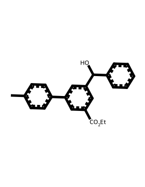 CCOC(=O)c1cc(-c2ccc(C)cc2)cc(C(O)c2ccccc2)c1